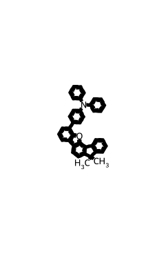 CC1(C)c2ccccc2-c2c1ccc1c2oc2c(-c3ccc(N(c4ccccc4)c4ccccc4)cc3)cccc21